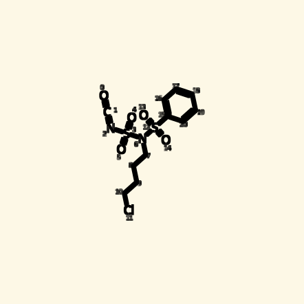 O=C=NS(=O)(=O)N(CCCCCl)S(=O)(=O)c1ccccc1